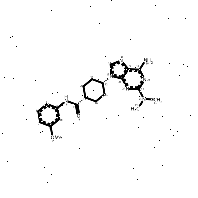 COc1cccc(NC(=O)[C@H]2CC[C@@H](n3cnc4c(N)nc(N(C)C)nc43)CC2)c1